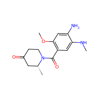 CNc1cc(C(=O)N2CCC(=O)C[C@H]2C)c(OC)cc1N